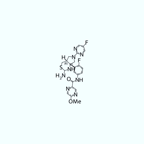 COc1cnc(C(=O)Nc2ccc(F)c([C@]34CN(c5ncc(F)cn5)C[C@H]3CSC(N)N4)c2)cn1